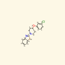 Clc1cccc(OC2CCN(c3nc4ccccc4s3)CC2)c1